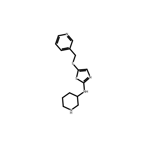 c1cncc(CSc2cnc(NC3CCCNC3)s2)c1